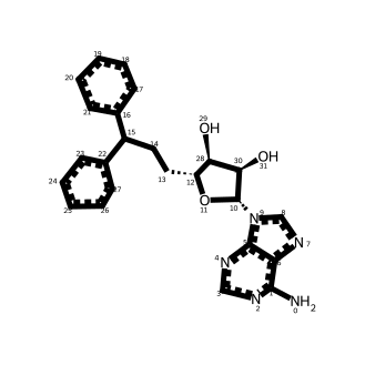 Nc1ncnc2c1ncn2[C@@H]1O[C@H](CCC(c2ccccc2)c2ccccc2)[C@@H](O)[C@H]1O